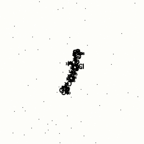 CC(=O)OC(CO)COc1ccc(C(C)(C)c2cc(Cl)c(OCC(CCl)OC(C)=O)c(CI)c2)cc1